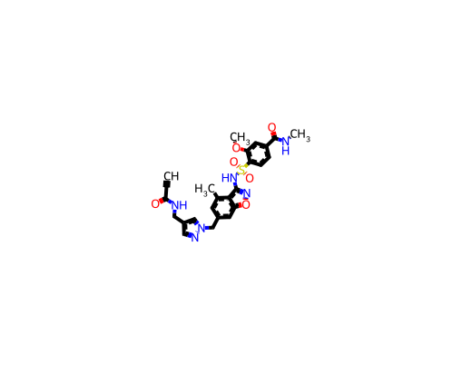 C#CC(=O)NCc1cnn(Cc2cc(C)c3c(NS(=O)(=O)c4ccc(C(=O)NC)cc4OC)noc3c2)c1